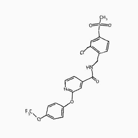 CS(=O)(=O)c1ccc(CNC(=O)c2ccnc(Oc3ccc(OC(F)(F)F)cc3)c2)c(Cl)c1